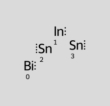 [Bi].[In].[Sn].[Sn]